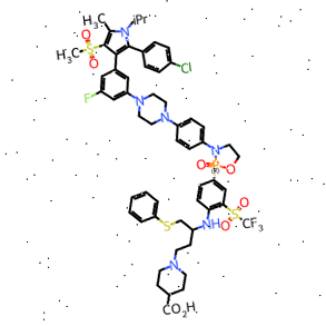 Cc1c(S(C)(=O)=O)c(-c2cc(F)cc(N3CCN(c4ccc(N5CCO[P@]5(=O)c5ccc(NC(CCN6CCC(C(=O)O)CC6)CSc6ccccc6)c(S(=O)(=O)C(F)(F)F)c5)cc4)CC3)c2)c(-c2ccc(Cl)cc2)n1C(C)C